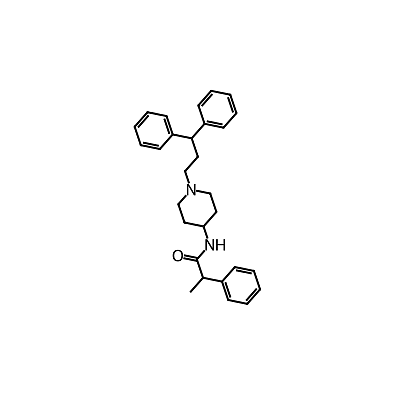 CC(C(=O)NC1CCN(CCC(c2ccccc2)c2ccccc2)CC1)c1ccccc1